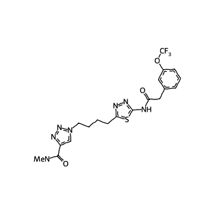 CNC(=O)c1cn(CCCCc2nnc(NC(=O)Cc3cccc(OC(F)(F)F)c3)s2)nn1